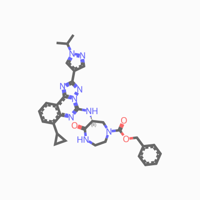 CC(C)n1cc(-c2nc3c4cccc(C5CC5)c4nc(N[C@@H]4CN(C(=O)OCc5ccccc5)CCNC4=O)n3n2)cn1